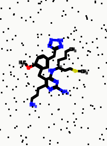 CCCC[C@@H](CCSC)Nc1nc(N)nc(CCCN)c1Cc1cc(Cc2nn[nH]n2)ccc1OC